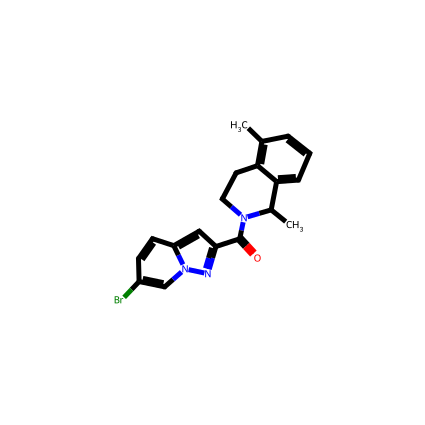 Cc1cccc2c1CCN(C(=O)c1cc3ccc(Br)cn3n1)C2C